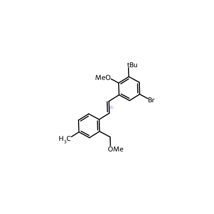 COCc1cc(C)ccc1/C=C/c1cc(Br)cc(C(C)(C)C)c1OC